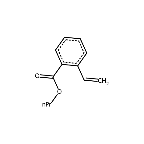 [CH2]CCOC(=O)c1ccccc1C=C